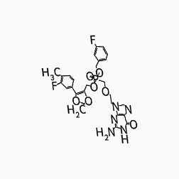 C=C1OC(COP(=O)(COCCn2cnc3c(=O)[nH]c(N)nc32)OCc2cccc(F)c2)=C(c2ccc(C)c(F)c2)O1